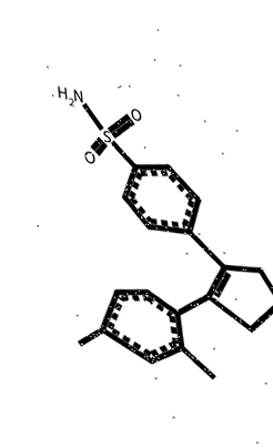 Cc1ccc(C2=C(c3ccc(S(N)(=O)=O)cc3)CCC2)c(C)c1